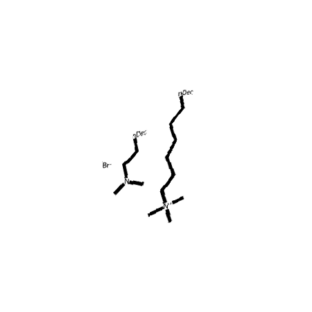 CCCCCCCCCCCCCCCC[N+](C)(C)C.CCCCCCCCCCCCN(C)C.[Br-]